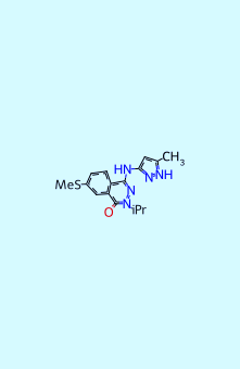 CSc1ccc2c(Nc3cc(C)[nH]n3)nn(C(C)C)c(=O)c2c1